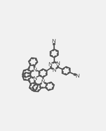 N#Cc1ccc(-c2nc(-c3ccc(C#N)cc3)nc(-c3cc(-n4c5ccccc5c5ccccc54)c(-n4c5ccccc5c5ccccc54)c(-n4c5ccccc5c5ccccc54)c3)n2)cc1